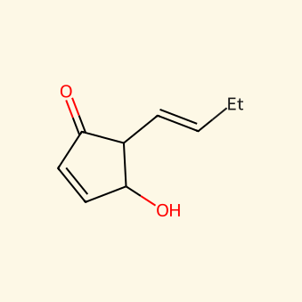 CCC=CC1C(=O)C=CC1O